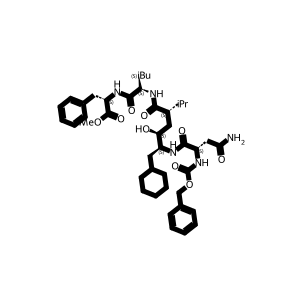 CC[C@H](C)[C@H](NC(=O)[C@@H](C[C@H](O)[C@H](CC1CCCCC1)NC(=O)[C@H](CC(N)=O)NC(=O)OCc1ccccc1)C(C)C)C(=O)N[C@@H](Cc1ccccc1)C(=O)OC